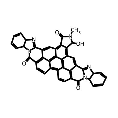 CN1C(=O)c2c(c3cc4c5n(c(=O)c6ccc7c8ccc9c(=O)n%10c(c%11cc2c(c3c7c64)c8c9%11)=NC2C=CC=CC2%10)C2C=CC=CC2N=5)C1O